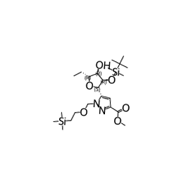 CC[C@H]1O[C@@H](c2cc(C(=O)OC)nn2COCC[Si](C)(C)C)[C@H](O[Si](C)(C)C(C)(C)C)[C@@H]1O